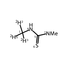 [2H]C([2H])([2H])NC(=S)NC